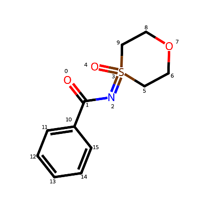 O=C(N=S1(=O)CCOCC1)c1ccccc1